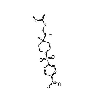 C=C(OC)S/N=C(\C)C1(C)CCN(S(=O)(=O)c2ccc([N+](=O)[O-])cc2)CC1